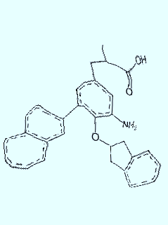 CC(Cc1cc(N)c(OC2Cc3ccccc3C2)c(-c2ccc3ccccc3c2)c1)C(=O)O